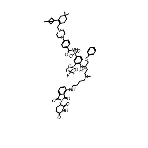 CN(CCCCNc1cccc2c1C(=O)N(C1CCC(=O)NC1=O)C2=O)CC[C@H](CSc1ccccc1)Nc1ccc(S(=O)(=O)NC(=O)c2ccc(N3CCN(CC4=C(C56CC(C)(C5)C6)CC(C)(C)CC4)CC3)cc2)cc1S(=O)(=O)C(F)(F)F